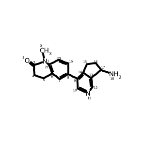 CN1C(=O)CCc2cc(-c3cncc4c3CCC4N)ccc21